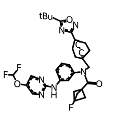 CC(C)(C)c1nc(C23CCC(CN(C(=O)C45CC(F)(C4)C5)c4cccc(Nc5ncc(OC(F)F)cn5)c4)(CC2)CC3)no1